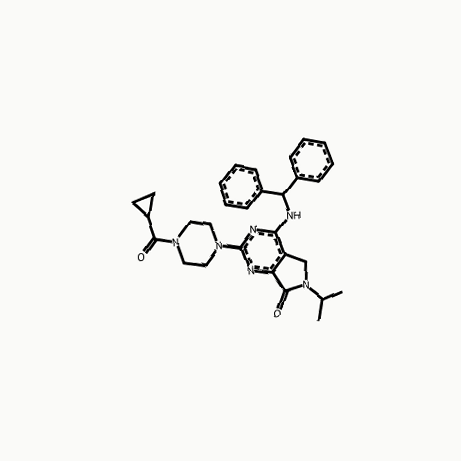 CC(C)N1Cc2c(NC(c3ccccc3)c3ccccc3)nc(N3CCN(C(=O)C4CC4)CC3)nc2C1=O